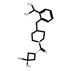 CC(C)c1ccccc1CC1CCN(C(=O)[C@H]2C[C@@](C)(O)C2)CC1